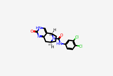 O=C(Nc1ccc(Cl)c(Cl)c1)N1[C@H]2CC[C@@H]1c1c[nH]c(=O)nc1C2